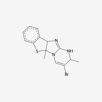 CC1NC2=NC3c4ccccc4SC3(C)N2C=C1Br